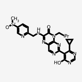 CC(C)Cn1c(=O)c(NCc2ccc([S+](C)[O-])cn2)nc2cnc(-c3c(O)ncnc3C3CC3)nc21